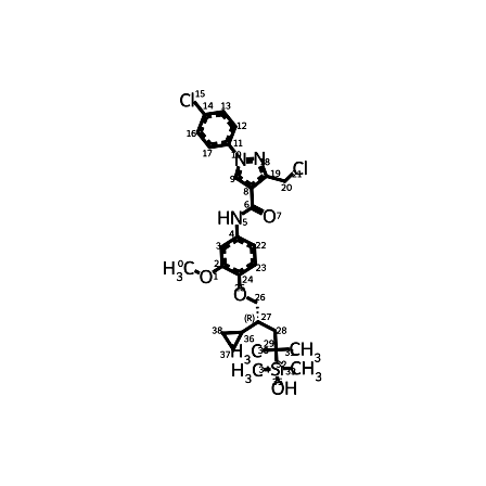 COc1cc(NC(=O)c2cn(-c3ccc(Cl)cc3)nc2CCl)ccc1OC[C@H](CC(C)(C)[Si](C)(C)O)C1CC1